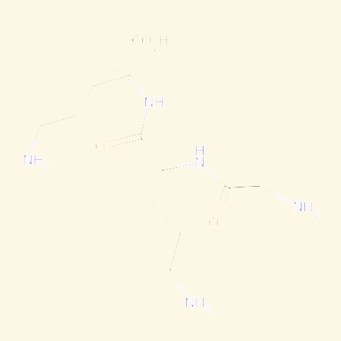 NCCC[C@@H](NC(=O)[C@@H](CCCN)NC(=O)CN)C(=O)O